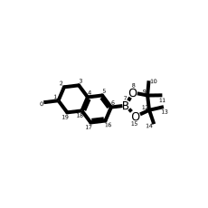 CC1CCc2cc(B3OC(C)(C)C(C)(C)O3)ccc2C1